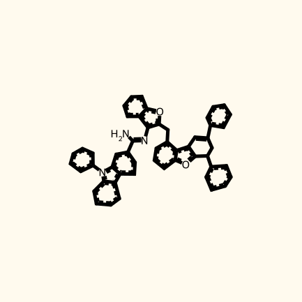 N/C(=N\c1c(Cc2cccc3oc4c(c23)C=C(c2ccccc2)CC4c2ccccc2)oc2ccccc12)c1ccc2c3ccccc3n(-c3ccccc3)c2c1